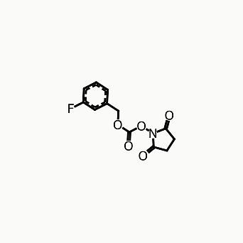 O=C(OCc1cccc(F)c1)ON1C(=O)CCC1=O